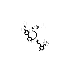 COC(=O)Nc1ccc2c(c1)N[C@@H](C(=O)N1CC(C)(O)C1)CCCC[C@H](NC(=O)/C=C/c1cc(Cl)ccc1-n1cnnn1)c1cc-2ccn1